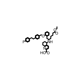 CCOC(=O)CCCCC(Cc1ccccc1OCc1ccc(CCc2ccc(F)cc2)cc1)NC1CCCc2nc(C(=O)O)ccc21